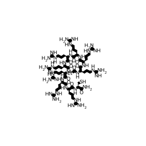 CCC(=O)N[C@H](CCCNC(=N)N)C(=O)N[C@H](CCCNC(=N)N)C(=O)N[C@H](CCCNC(=N)N)C(=O)N[C@H](CCCNC(=N)N)C(=O)N[C@H](CCCNC(=N)N)C(=O)N[C@H](CCCNC(=N)N)C(=O)N[C@H](CCCNC(=N)N)C(=O)N[C@H](CCCNC(=N)N)C(=O)N[C@H](CS)C(N)=O